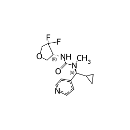 CN(C(=O)N[C@@H]1COCC1(F)F)[C@H](c1ccncc1)C1CC1